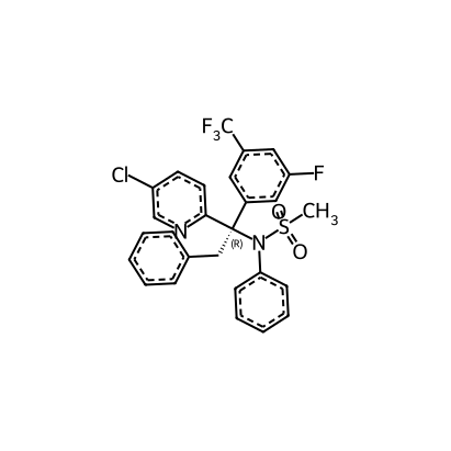 CS(=O)(=O)N(c1ccccc1)[C@](Cc1ccccc1)(c1cc(F)cc(C(F)(F)F)c1)c1ccc(Cl)cn1